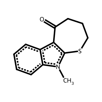 Cn1c2c(c3ccccc31)C(=O)CCCS2